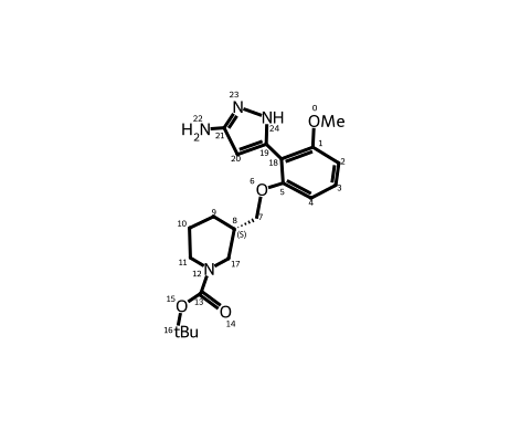 COc1cccc(OC[C@H]2CCCN(C(=O)OC(C)(C)C)C2)c1-c1cc(N)n[nH]1